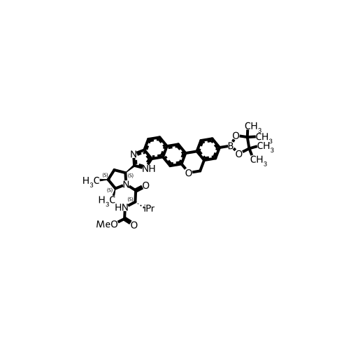 COC(=O)N[C@H](C(=O)N1[C@H](c2nc3ccc4cc5c(cc4c3[nH]2)OCc2cc(B3OC(C)(C)C(C)(C)O3)ccc2-5)C[C@H](C)[C@@H]1C)C(C)C